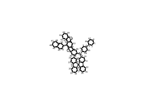 c1ccc(-c2ccc(N(c3ccc4c(c3)C3(c5ccccc5-c5ccccc53)c3ccccc3-4)c3ccc4oc5c(-c6ccc7ccccc7c6)c6c(cc5c4c3)oc3ccccc36)cc2)cc1